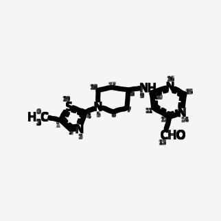 Cc1cnc(N2CCC(Nc3cc(C=O)ncn3)CC2)s1